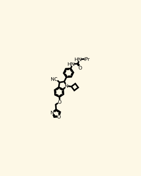 CC(C)NC(=O)Nc1ccc(C2C(C#N)c3ccc(OCc4cocn4)cc3N2C2CCC2)cc1